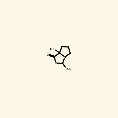 CC12CCCN1C(C(Cl)(Cl)Cl)OC2=O